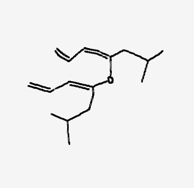 C=CC=C(CC(C)C)OC(=CC=C)CC(C)C